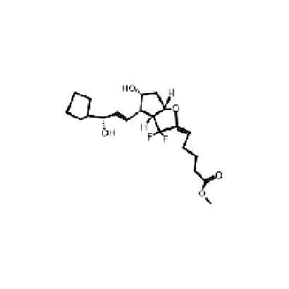 COC(=O)CCCC=C1O[C@H]2C[C@@H](O)[C@H](C=C[C@H](O)C3CCCC3)[C@H]2C1(F)F